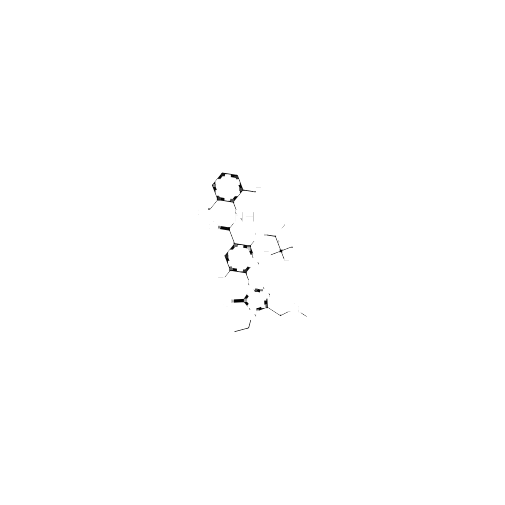 CCn1c(COC)nn(-c2nc(O[C@@H](C)C(F)(F)F)c(C(=O)Nc3c(F)cccc3Cl)cc2F)c1=O